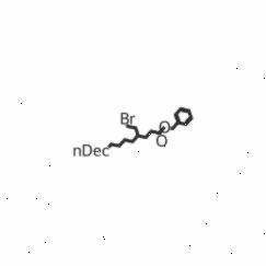 CCCCCCCCCCCCCCC(CCBr)CCC(=O)OCc1ccccc1